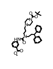 COC(=O)c1cccc(NC(=O)N(CCCN2CCN(C(=O)OC(C)(C)C)CC2)CCC(c2ccccc2)c2ccccc2)c1